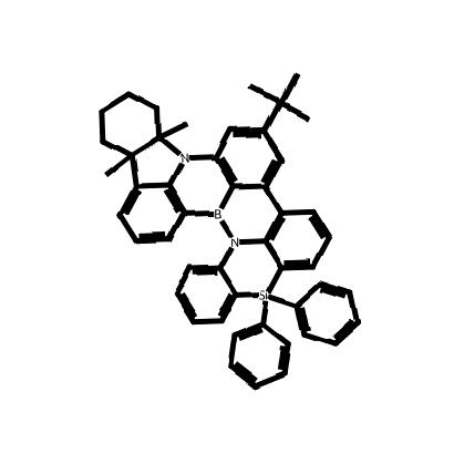 CC(C)(C)c1cc2c3c(c1)N1c4c(cccc4C4(C)CCCCC14C)B3N1c3ccccc3[Si](c3ccccc3)(c3ccccc3)c3cccc-2c31